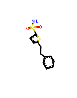 NS(=O)(=O)c1ccc(CCc2ccccc2)s1